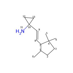 CC1CCC(C)(C)C1C=CC1(N)CC1